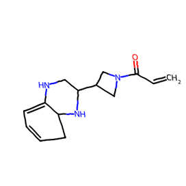 C=CC(=O)N1CC(C2CNC3=CC=CCC3N2)C1